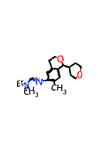 CCN(C)/C=N/c1cc2c(cc1C)C(C1CCOCC1)OCC2